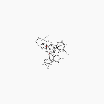 COC(=O)c1cc(N2C3CC[C@H]2C=C(OCc2c(-c4c(F)cccc4F)noc2C2CC2)C3)nc(Cl)n1